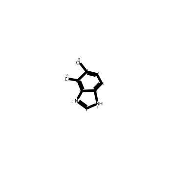 Clc1ccc2[nH]cnc2c1Cl